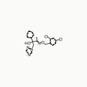 CC(=NOCc1ccc(Cl)cc1Cl)C(O)(Cn1cncn1)c1ccccc1